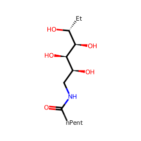 CCCCCC(=O)NC[C@H](O)[C@@H](O)[C@H](O)[C@H](O)CC